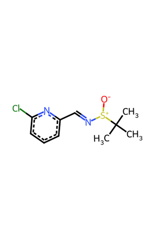 CC(C)(C)[S+]([O-])/N=C/c1cccc(Cl)n1